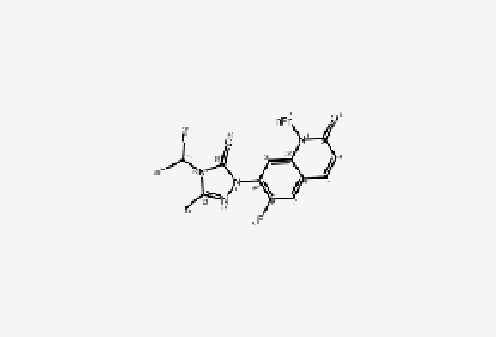 CCCn1c(=O)ccc2cc(F)c(-n3nc(C)n(C(F)F)c3=O)cc21